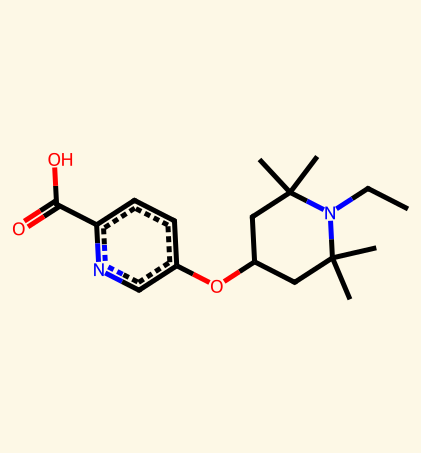 CCN1C(C)(C)CC(Oc2ccc(C(=O)O)nc2)CC1(C)C